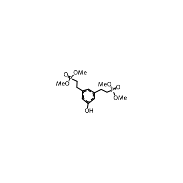 COP(=O)(CCc1cc(O)cc(CCP(=O)(OC)OC)c1)OC